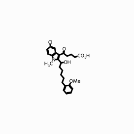 COc1ccccc1CCCCCC(O)c1c(C(=O)CCCC(=O)O)c2cc(Cl)ccc2n1C